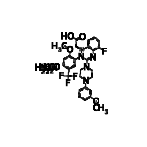 COc1cccc(N2CCN(C3=Nc4c(F)cccc4[C@H](CC(=O)O)N3c3cc(C(F)(F)F)ccc3OC)CC2)c1.O.O.O.[NaH]